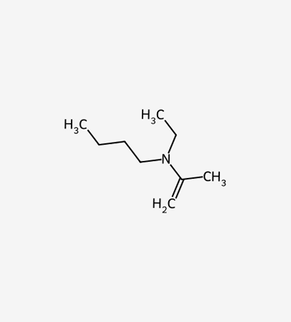 C=C(C)N(CC)CCCC